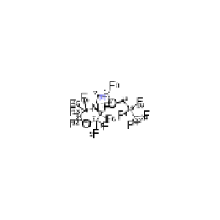 F/C(=C/N1C(F)(F)C(F)(F)OC(F)(F)C1(F)F)OCC(F)(F)C(F)F